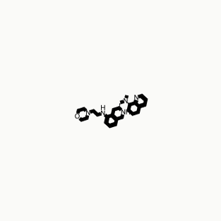 CN(C[C@H]1Cc2c(cccc2NCCN2CCOCC2)CN1)[C@H]1CCCc2cccnc21